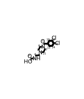 O=C(O)NCCN1CCN(C(=O)c2ccc(Cl)c(Cl)c2)CC1